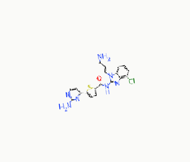 NCCCn1c(NC(=O)c2ccc(-c3ccnc(N)n3)s2)nc2c(Cl)cccc21